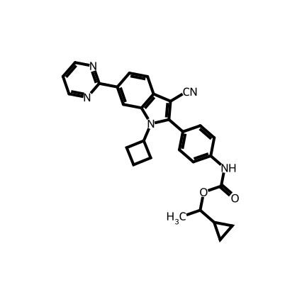 CC(OC(=O)Nc1ccc(-c2c(C#N)c3ccc(-c4ncccn4)cc3n2C2CCC2)cc1)C1CC1